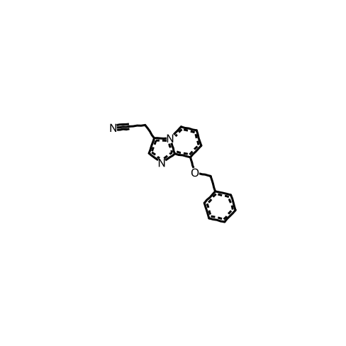 N#CCc1cnc2c(OCc3ccccc3)cccn12